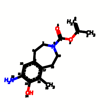 C=C(C)OC(=O)N1CCc2cc(N)c(O)c(C)c2CC1